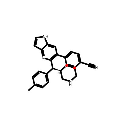 Cc1ccc(C(c2nc3cc[nH]c3cc2-c2ccc(C#N)cc2)[C@@H]2CNCCO2)cc1